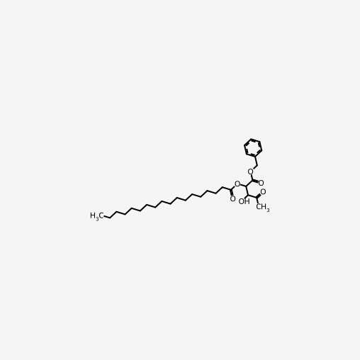 CCCCCCCCCCCCCCCCCC(=O)OC(C(=O)OCc1ccccc1)C(O)C(C)=O